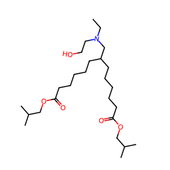 CCN(CCO)CC(CCCCCC(=O)OCC(C)C)CCCCCC(=O)OCC(C)C